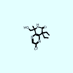 CCC1(CC)C(=O)NC(C)(CO)c2ncc(Cl)nc21